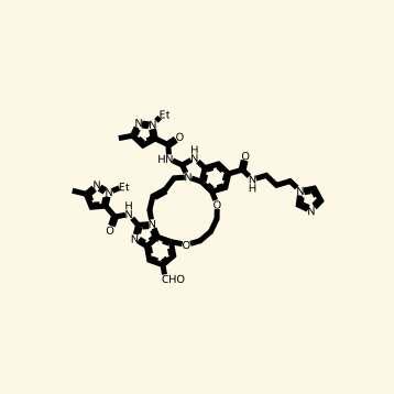 CCn1nc(C)cc1C(=O)Nc1nc2cc(C=O)cc3c2n1C/C=C/CN1c2c(cc(C(=O)NCCCn4ccnc4)cc2OCCCO3)NC1NC(=O)c1cc(C)nn1CC